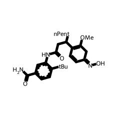 CCCCCC(CC(=O)Nc1cc(C(N)=O)ccc1C(C)(C)C)C1=C(OC)CC(=NO)C=C1